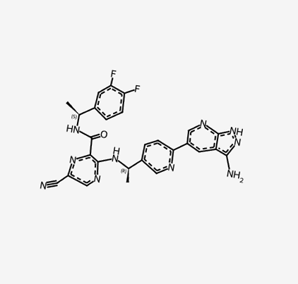 C[C@H](NC(=O)c1nc(C#N)cnc1N[C@H](C)c1ccc(-c2cnc3[nH]nc(N)c3c2)nc1)c1ccc(F)c(F)c1